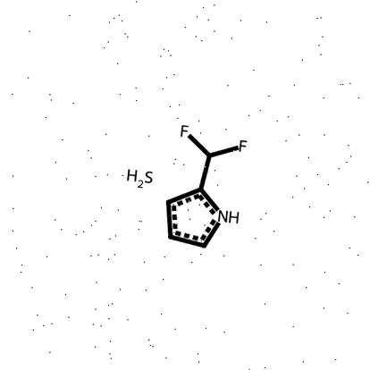 FC(F)c1ccc[nH]1.S